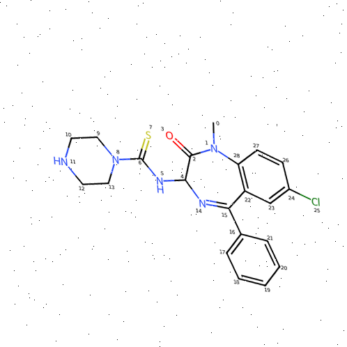 CN1C(=O)C(NC(=S)N2CCNCC2)N=C(c2ccccc2)c2cc(Cl)ccc21